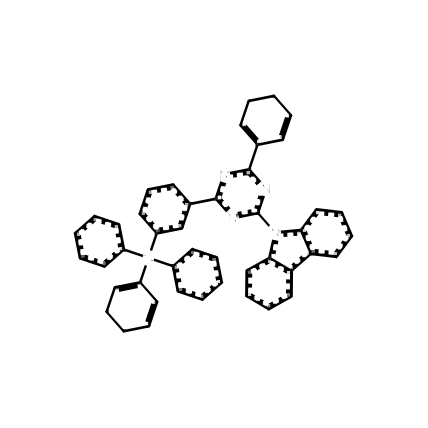 C1=CC(c2nc(-c3cccc(S(C4=CCCC=C4)(c4ccccc4)c4ccccc4)c3)nc(-n3c4ccccc4c4ccccc43)n2)=CCC1